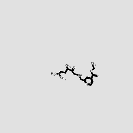 CC(CCN(C)C)C(=O)CNCc1cc(C(=O)OCC(F)(F)F)ccn1